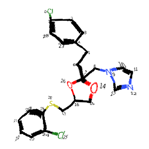 Clc1ccc(CCC2(Cn3ccnc3)OCC(CSc3ccccc3Cl)O2)cc1